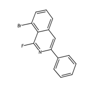 Fc1nc(-c2ccccc2)cc2cccc(Br)c12